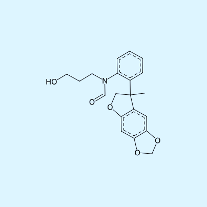 CC1(c2ccccc2N(C=O)CCCO)COc2cc3c(cc21)OCO3